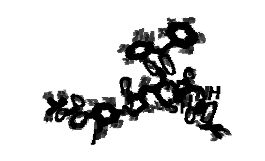 CC(C)(C)OC(=O)N[C@@H]1C(=O)N2C(C(=O)OC(c3ccccc3)c3ccccc3)=C(C=C3CCN(c4ccc(OC(=O)OC(C)(C)C)c(F)c4)C3=O)CS[C@H]12